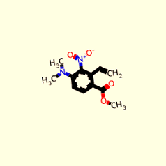 C=Cc1c(C(=O)OC)ccc(N(C)C)c1[N+](=O)[O-]